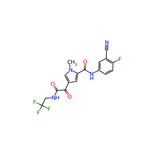 Cn1cc(C(=O)C(=O)NCC(F)(F)F)cc1C(=O)Nc1ccc(F)c(C#N)c1